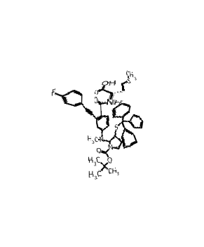 CSCC[C@H](NC(=O)c1ccc(N(C)C2C(SC(c3ccccc3)(c3ccccc3)c3ccccc3)CCN2C(=O)OC(C)(C)C)cc1C#Cc1ccc(F)cc1)C(=O)O